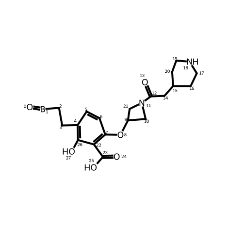 O=BCCc1ccc(OC2CN(C(=O)CC3CCNCC3)C2)c(C(=O)O)c1O